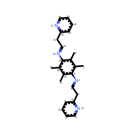 Cc1c(C)c(N=CCc2ccccn2)c(C)c(C)c1N=CCc1ccccn1